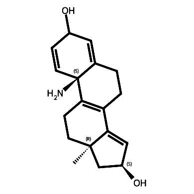 C[C@]12CCC3=C(CCC4=CC(O)C=C[C@]43N)C1=C[C@@H](O)C2